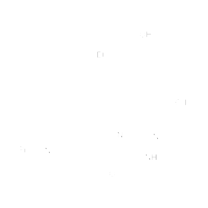 CCc1cc(-c2n[nH]c(=O)n2-c2cccc3c2ccn3C(C)C)c(C)cc1O